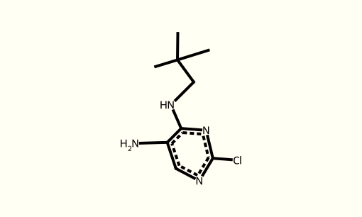 CC(C)(C)CNc1nc(Cl)ncc1N